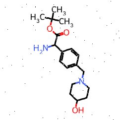 CC(C)(C)OC(=O)C(N)c1ccc(CN2CCC(O)CC2)cc1